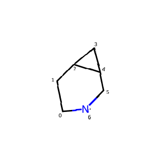 C1CC2CC2C[N]1